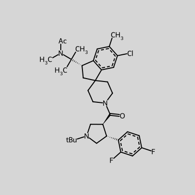 CC(=O)N(C)C(C)(C)[C@H]1CC2(CCN(C(=O)[C@@H]3CN(C(C)(C)C)C[C@H]3c3ccc(F)cc3F)CC2)c2cc(Cl)c(C)cc21